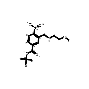 COCCNCc1cc(C(=O)OC(C)(C)C)ccc1[N+](=O)[O-]